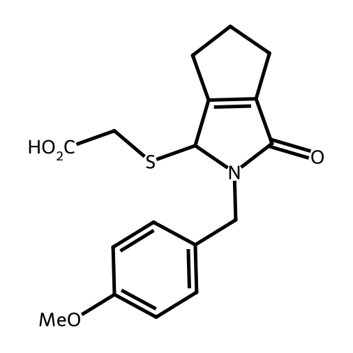 COc1ccc(CN2C(=O)C3=C(CCC3)C2SCC(=O)O)cc1